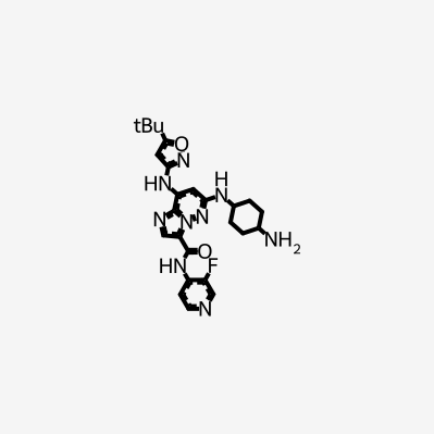 CC(C)(C)c1cc(Nc2cc(NC3CCC(N)CC3)nn3c(C(=O)Nc4ccncc4F)cnc23)no1